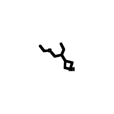 CCOCC(CC)C1CNC1